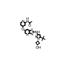 CC(=O)Nc1cc(Oc2cnc3nc(Nc4cc(C(C)(C)C)n([C@H]5C[C@@H](O)C5)n4)sc3c2)ccn1